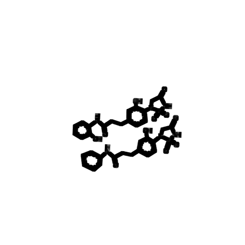 O=C(CCc1ccc(N2CC(=O)NS2(=O)=O)c(O)c1)Nc1ccccc1.O=C(CCc1ccc(N2CC(=O)NS2(=O)=O)c(O)c1)Nc1ccccc1O